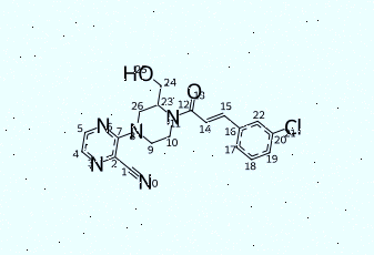 N#Cc1nccnc1N1CCN(C(=O)C=Cc2cccc(Cl)c2)C(CO)C1